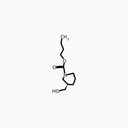 CCCCOC(=O)N1CCC[C@@H](CO)C1